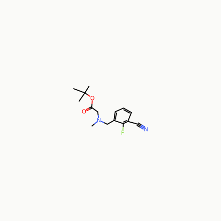 CN(CC(=O)OC(C)(C)C)Cc1cccc(C#N)c1F